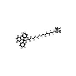 CS(=O)(=O)OCCCCCCCCCCCCCCCCC(c1ccccc1)(c1ccccc1)c1ccccc1